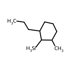 CCCC1CCCC(C)C1[SiH3]